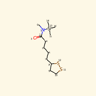 CN(C(=O)CCCCC1CCSS1)[Si](C)(C)C